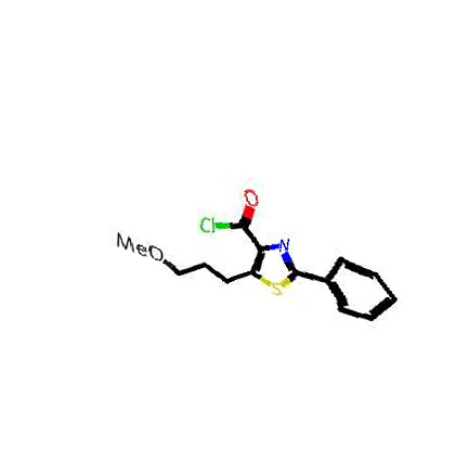 COCCCc1sc(-c2ccccc2)nc1C(=O)Cl